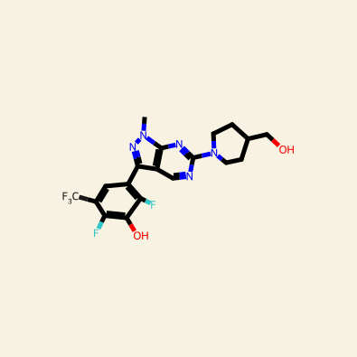 Cn1nc(-c2cc(C(F)(F)F)c(F)c(O)c2F)c2cnc(N3CCC(CO)CC3)nc21